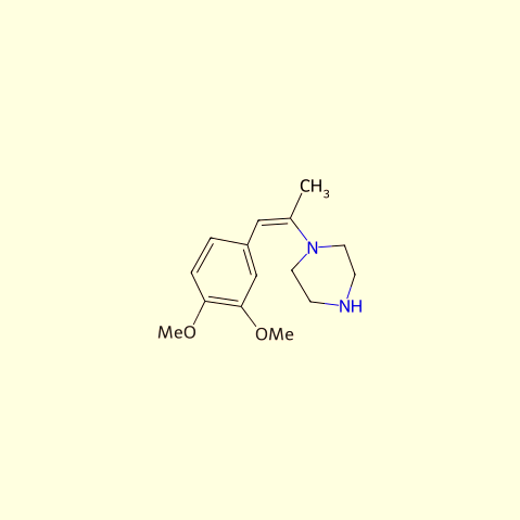 COc1ccc(C=C(C)N2CCNCC2)cc1OC